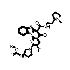 CN1CCCC1CCNC(=O)c1c(=O)c2cc(F)c(N3CCC(NC(=O)OC(C)(C)C)C3)nc2n2c1sc1ccccc12